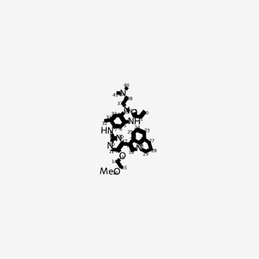 C=CC(=O)Nc1cc(Nc2ncc(OCCOC)c(-c3cn4c5c(cccc35)CCC4)n2)c(C)cc1N(C)CCN(C)C